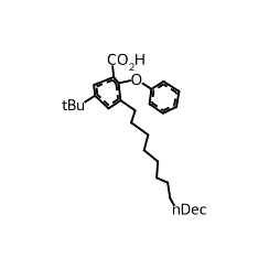 CCCCCCCCCCCCCCCCCCc1cc(C(C)(C)C)cc(C(=O)O)c1Oc1ccccc1